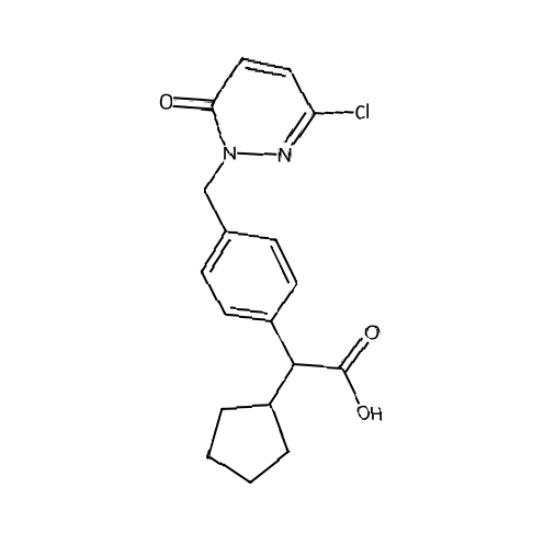 O=C(O)C(c1ccc(Cn2nc(Cl)ccc2=O)cc1)C1CCCC1